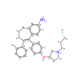 Cc1ccccc1C1=C(c2ccc(OC3CCN(CCCF)C3)cc2)c2ccc(N)cc2CCC1